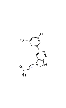 NC(=O)/C=C/c1c[nH]c2ncc(-c3cc(Cl)cc(C(F)(F)F)c3)cc12